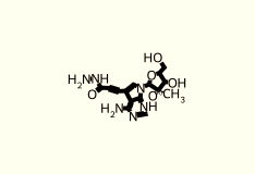 C[C@@]1(O)C(O)C(CO)OC1n1cc(C#CC(=O)NN)c2c(N)ncnc21